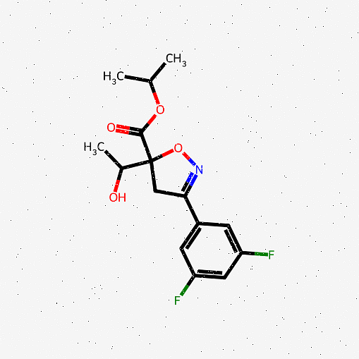 CC(C)OC(=O)C1(C(C)O)CC(c2cc(F)cc(F)c2)=NO1